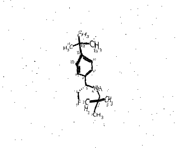 CC(C)(C)N[C@H](CF)c1ccc(C(C)(C)C)cc1